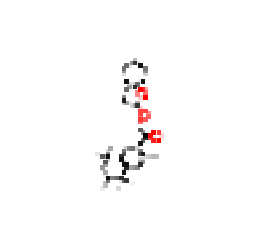 Cc1cc2c(cc1C(=O)COC1CCC3(CCC(C)CC3)O1)C(C)(C)CC(C)C2(C)C